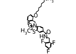 CCCCCCCCOc1cccc(F)c1CN1C(=O)C(C)Sc2cc(C(=O)NCc3c(F)cc(F)cc3F)ccc21